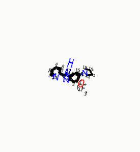 FC(F)(F)Oc1cc2nc(-c3ccccn3)[nH]c2cc1N1CCCC1